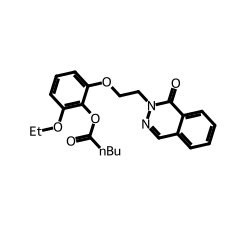 CCCCC(=O)Oc1c(OCC)cccc1OCCn1ncc2ccccc2c1=O